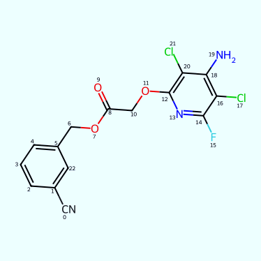 N#Cc1cccc(COC(=O)COc2nc(F)c(Cl)c(N)c2Cl)c1